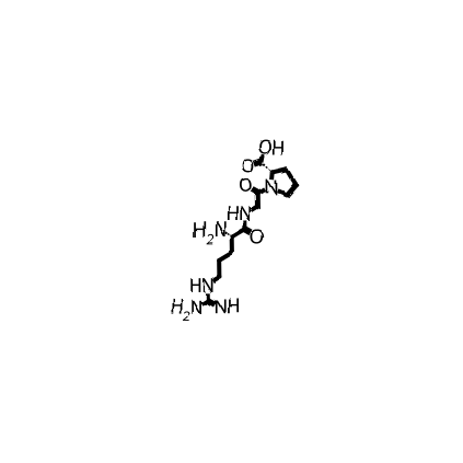 N=C(N)NCCC[C@H](N)C(=O)NCC(=O)N1CCC[C@H]1C(=O)O